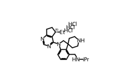 CC[C@@H]1CCc2ncnc(N3CC4(CCNCC4)c4c(CNC(C)C)cccc43)c21.Cl.Cl.Cl